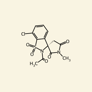 CC(=O)N1[C@@]2(CC(=O)N(C)C2=O)c2cccc(Cl)c2S1(=O)=O